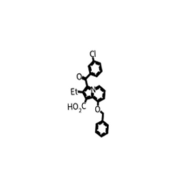 CCc1c(C(=O)O)c2c(OCc3ccccc3)cccn2c1C(=O)c1cccc(Cl)c1